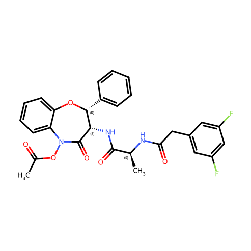 CC(=O)ON1C(=O)[C@@H](NC(=O)[C@H](C)NC(=O)Cc2cc(F)cc(F)c2)[C@@H](c2ccccc2)Oc2ccccc21